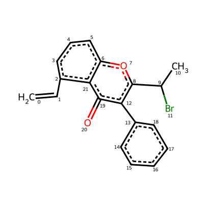 C=Cc1cccc2oc(C(C)Br)c(-c3ccccc3)c(=O)c12